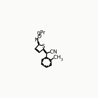 CCCON=C1C=CC(=C(C#N)c2ccccc2C)S1